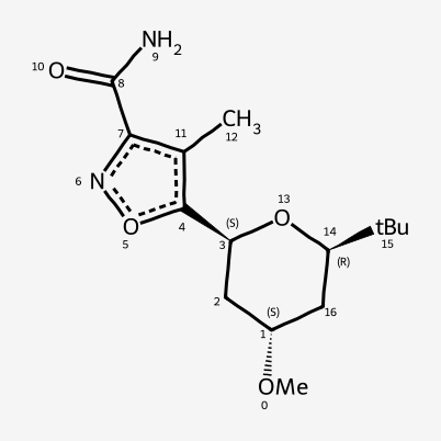 CO[C@@H]1C[C@@H](c2onc(C(N)=O)c2C)O[C@@H](C(C)(C)C)C1